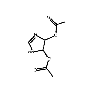 CC(=O)OC1N=CNC1OC(C)=O